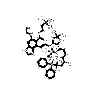 COCOc1cc2c(c(/C=C/C[C@@H]3OC(C)(C)O[C@@H]3C(/C=C\[C@@H](C)[C@H](C)CC(C)(C)[Si](O)(c3ccccc3)c3ccccc3)O[Si](C)(C)C(C)(C)C)c1C(=O)OCC[Si](C)(C)C)OCO2